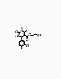 CC1=C(C(=O)OCCC(C)C)C(c2ccc(C)c(Cl)c2)NC(=O)N1